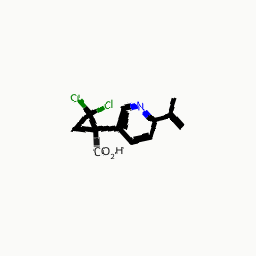 C=C(C)c1ccc(C2(C(=O)O)CC2(Cl)Cl)cn1